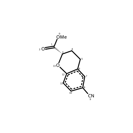 COC(=O)[C@@H]1CCc2cc(C#N)ccc2O1